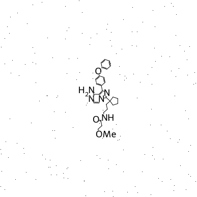 COCCC(=O)NCCCC1(c2nc(-c3ccc(Oc4ccccc4)cc3)c3c(N)nccn23)CCCC1